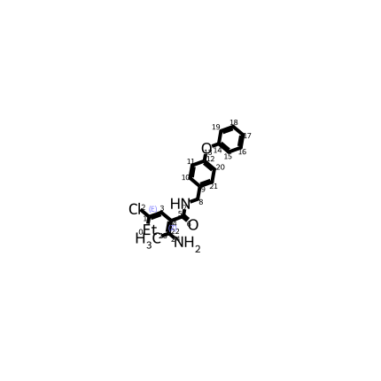 CC/C(Cl)=C\C(C(=O)NCc1ccc(Oc2ccccc2)cc1)=C(/C)N